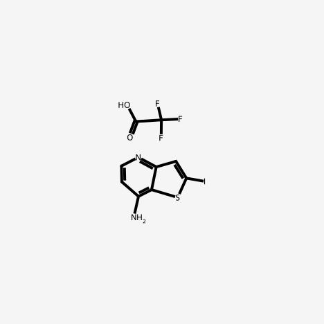 Nc1ccnc2cc(I)sc12.O=C(O)C(F)(F)F